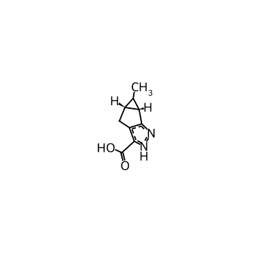 CC1[C@H]2Cc3c(n[nH]c3C(=O)O)[C@@H]12